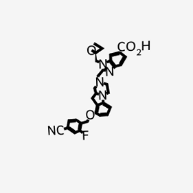 N#Cc1ccc(COc2cccc3c2CC2CN(Cc4nc5ccc(C(=O)O)cc5n4C[C@@H]4CCO4)CCN32)c(F)c1